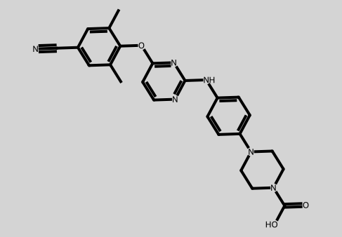 Cc1cc(C#N)cc(C)c1Oc1ccnc(Nc2ccc(N3CCN(C(=O)O)CC3)cc2)n1